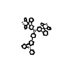 c1ccc(-n2c3ccccc3c3cc(-c4ccc(N(c5ccc6c(c5)-c5ccccc5C65c6ccccc6Sc6ccccc65)c5ccc6c(c5)-c5ccccc5C65c6ccccc6Sc6ccccc65)cc4)ccc32)cc1